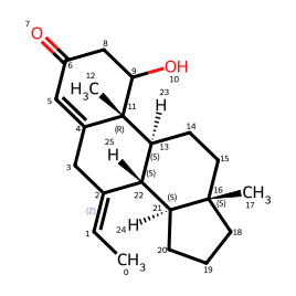 C/C=C1/CC2=CC(=O)CC(O)[C@]2(C)[C@H]2CC[C@]3(C)CCC[C@H]3[C@H]12